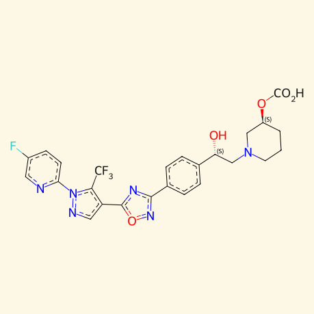 O=C(O)O[C@H]1CCCN(C[C@@H](O)c2ccc(-c3noc(-c4cnn(-c5ccc(F)cn5)c4C(F)(F)F)n3)cc2)C1